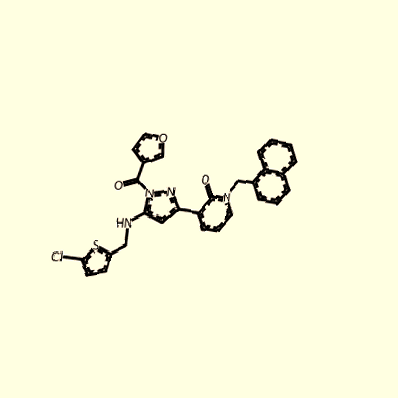 O=C(c1ccoc1)n1nc(-c2cccn(Cc3cccc4ccccc34)c2=O)cc1NCc1ccc(Cl)s1